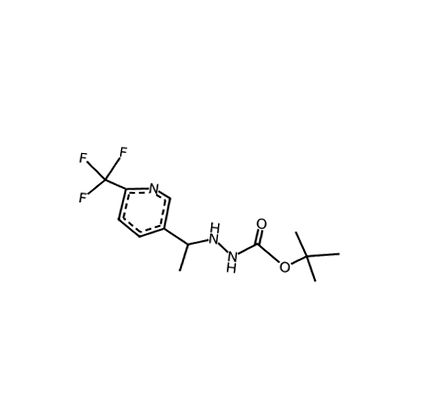 CC(NNC(=O)OC(C)(C)C)c1ccc(C(F)(F)F)nc1